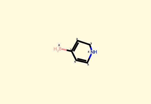 BC1=CCNC=C1